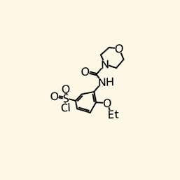 CCOc1ccc(S(=O)(=O)Cl)cc1NC(=O)N1CCOCC1